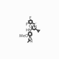 COc1cc(Nc2cc(C3CC3)nn([C@@H](C)c3cc(F)cc(F)c3)c2=O)ccc1-n1cnc(C)c1